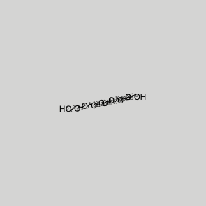 OCCOCCOCCOCCOOCCOCCOCCOCCO